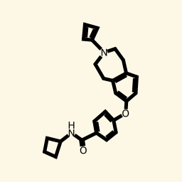 O=C(NC1CCC1)c1ccc(Oc2ccc3c(c2)CCN(C2=CC=C2)CC3)cc1